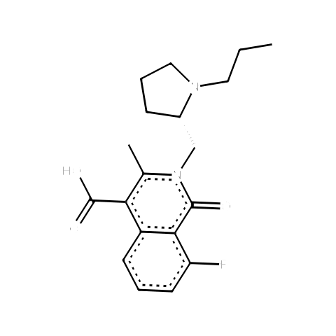 CCCN1CCC[C@H]1Cn1c(C)c(C(=O)O)c2cccc(F)c2c1=O